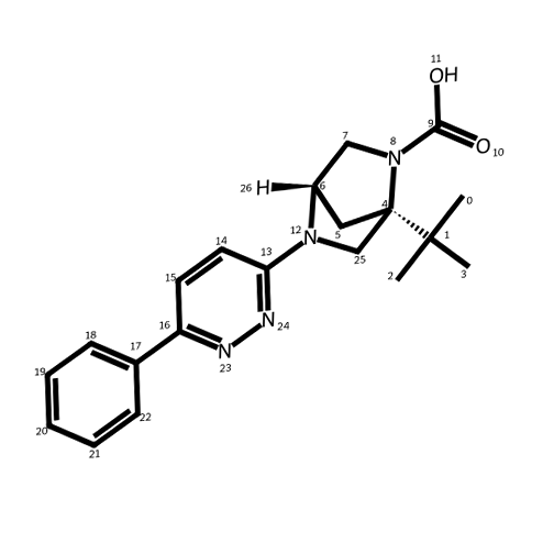 CC(C)(C)[C@]12C[C@@H](CN1C(=O)O)N(c1ccc(-c3ccccc3)nn1)C2